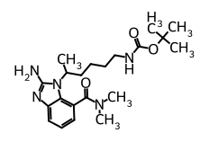 CC(CCCCNC(=O)OC(C)(C)C)n1c(N)nc2cccc(C(=O)N(C)C)c21